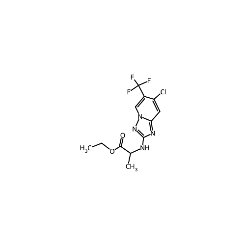 CCOC(=O)C(C)Nc1nc2cc(Cl)c(C(F)(F)F)cn2n1